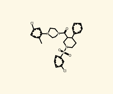 Cc1ccc(Cl)cc1N1CCN(C(=O)C2CN(S(=O)(=O)c3cccc(Cl)c3)CCC2c2ccccc2)CC1